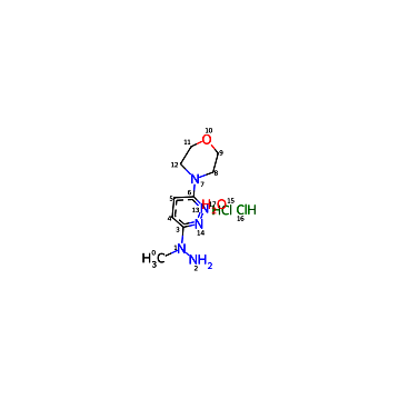 CN(N)c1ccc(N2CCOCC2)nn1.Cl.Cl.O